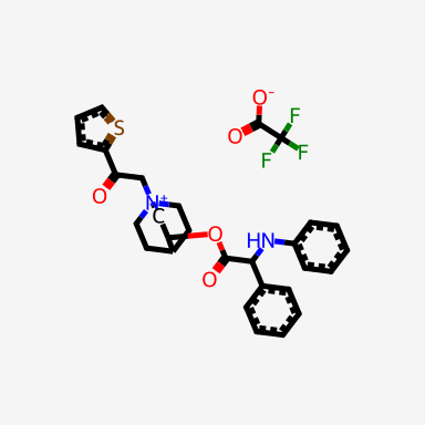 O=C(C[N+]12CCC(CC1)C(OC(=O)C(Nc1ccccc1)c1ccccc1)C2)c1cccs1.O=C([O-])C(F)(F)F